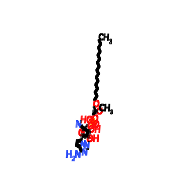 CCCCCCCCCCCCCCCCCCOC[C@H](COP(=O)(O)OC[C@@]1(C#N)O[C@@H](c2ccc3c(N)ncnn23)[C@H](O)[C@@H]1O)OC